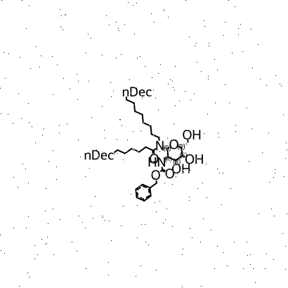 CCCCCCCCCCCCCCCCCCN(C(=O)CCCCCCCCCCCCCCC)[C@@H]1O[C@H](CO)[C@@H](O)[C@H](O)[C@H]1NC(=O)OCc1ccccc1